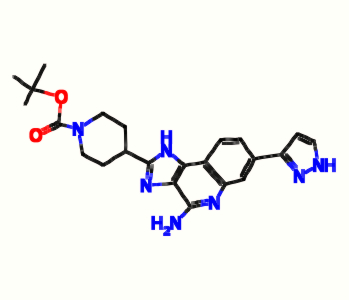 CC(C)(C)OC(=O)N1CCC(c2nc3c(N)nc4cc(-c5cc[nH]n5)ccc4c3[nH]2)CC1